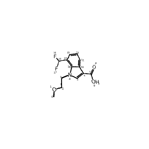 COCCn1cc(C(=O)O)c2cccc(C(F)F)c21